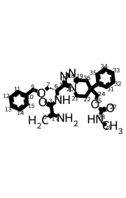 C=C(N)C(=O)N[C@H](COCc1ccccc1)c1nnc2n1CCC(COC(=O)NC)(c1ccccc1)C2